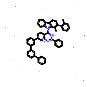 Cc1ccccc1-c1ccc2c3ccccc3n(C(N/C(=N\N)c3ccccc3)c3ccc(-c4cccc(-c5cccc(-c6ccccc6)c5)c4)cc3)c2c1C